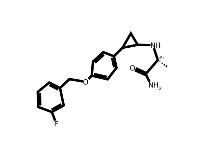 C[C@@H](NC1CC1c1ccc(OCc2cccc(F)c2)cc1)C(N)=O